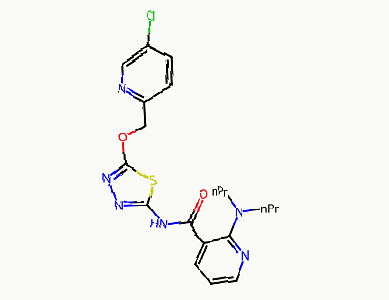 CCCN(CCC)c1ncccc1C(=O)Nc1nnc(OCc2ccc(Cl)cn2)s1